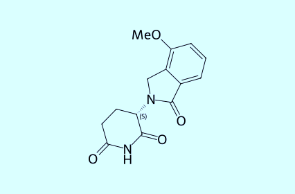 COc1cccc2c1CN([C@H]1CCC(=O)NC1=O)C2=O